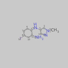 Cn1cc(Nc2ccc(I)cc2N)cn1